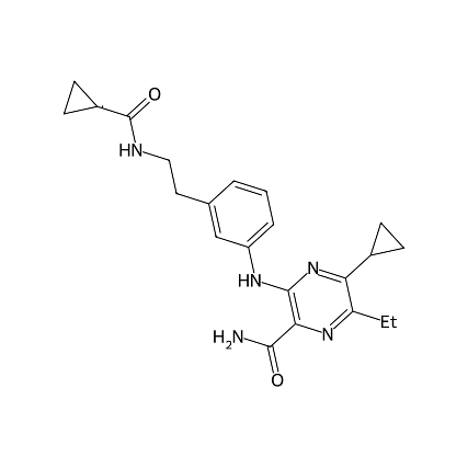 CCc1nc(C(N)=O)c(Nc2cccc(CCNC(=O)[C]3CC3)c2)nc1C1CC1